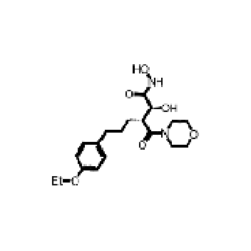 CCOc1ccc(CCC[C@@H](C(=O)N2CCOCC2)[C@H](O)C(=O)NO)cc1